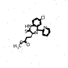 COC(=O)CC[C@@H]1N=C(c2ccccn2)c2cc(Cl)ccc2NC1=S